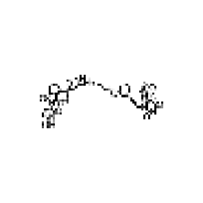 Cn1c(=O)c2c(nc(S(C)(=O)=O)n2C)n(CC#Cc2cccc(OCCCCCn3cc(CC(=O)Nc4cccc5c4C(=O)N(C4CCC(=O)NC4=O)C5=O)nn3)c2)c1=O